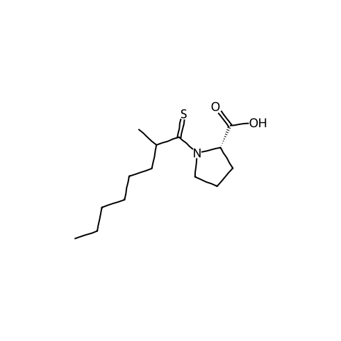 CCCCCCC(C)C(=S)N1CCC[C@H]1C(=O)O